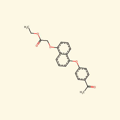 CCOC(=O)COc1cccc2c(Oc3ccc(C(C)=O)cc3)cccc12